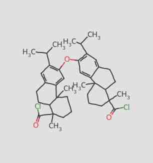 CC(C)c1cc2c(cc1Oc1cc3c(cc1C(C)C)CCC1C(C)(C(=O)Cl)CCCC31C)C1(C)CCCC(C)(C(=O)Cl)C1CC2